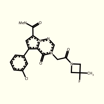 CNC(=O)c1cc(-c2cccc(Cl)c2)c2c(=O)n(CC(=O)N3CC(C)(F)C3)cnn12